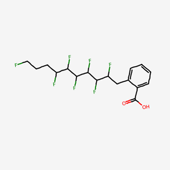 O=C(O)c1ccccc1CC(F)C(F)C(F)C(F)C(F)C(F)CCCF